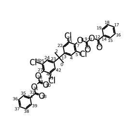 CC(C)(c1cc(Cl)c(OC(=O)OC(=O)c2ccccc2)c(Cl)c1)c1cc(Cl)c(OC(=O)OC(=O)c2ccccc2)c(Cl)c1